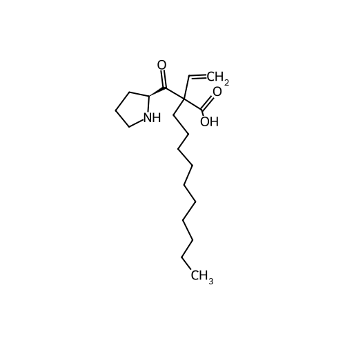 C=CC(CCCCCCCCCC)(C(=O)O)C(=O)[C@@H]1CCCN1